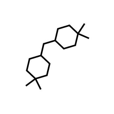 CC1(C)CCC(CC2CCC(C)(C)CC2)CC1